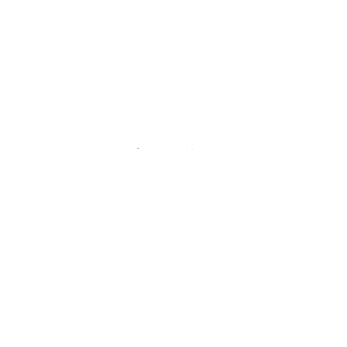 O=C(F)OOF